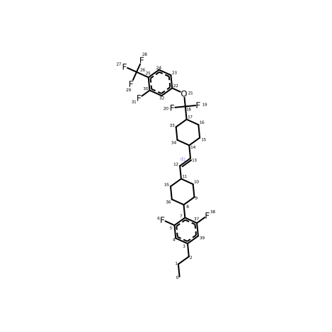 CCCc1cc(F)c(C2CCC(/C=C/C3CCC(C(F)(F)Oc4ccc(C(F)(F)F)c(F)c4)CC3)CC2)c(F)c1